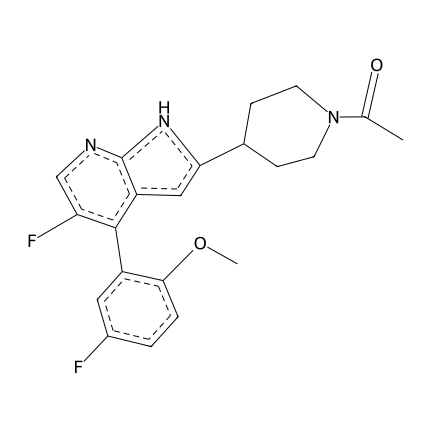 COc1ccc(F)cc1-c1c(F)cnc2[nH]c(C3CCN(C(C)=O)CC3)cc12